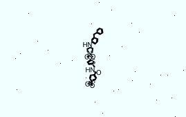 O=C(NCc1ccc(S(=O)(=O)N2CCC(Nc3cccc(Cc4ccccc4)c3)CC2)s1)c1ccc([N+](=O)[O-])cc1